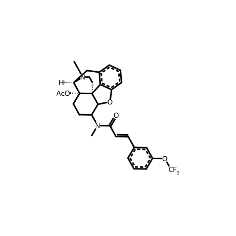 CC(=O)O[C@@]12CCC(N(C)C(=O)/C=C/c3cccc(OC(F)(F)F)c3)C3Oc4cccc5c4[C@@]31CCN(C)[C@@H]2C5